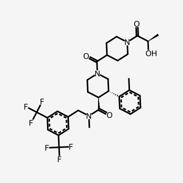 Cc1ccccc1[C@H]1CN(C(=O)C2CCN(C(=O)[C@@H](C)O)CC2)CC[C@@H]1C(=O)N(C)Cc1cc(C(F)(F)F)cc(C(F)(F)F)c1